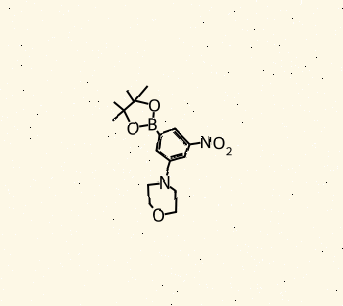 CC1(C)OB(c2cc(N3CCOCC3)cc([N+](=O)[O-])c2)OC1(C)C